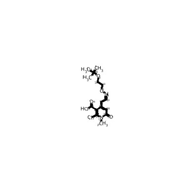 Cn1c(Cl)c(C(=O)O)c(C/C=N\OCCOC(C)(C)C)cc1=O